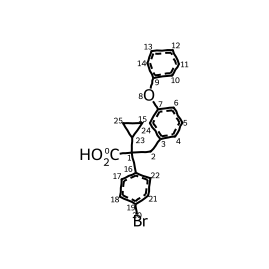 O=C(O)C(Cc1cccc(Oc2ccccc2)c1)(c1ccc(Br)cc1)C1CC1